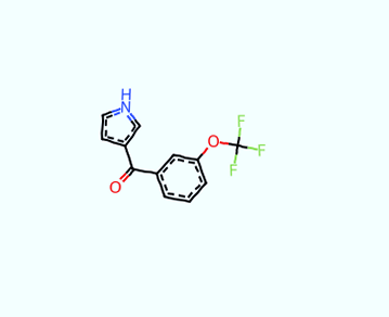 O=C(c1cc[nH]c1)c1cccc(OC(F)(F)F)c1